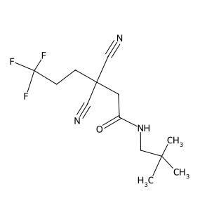 CC(C)(C)CNC(=O)CC(C#N)(C#N)CCC(F)(F)F